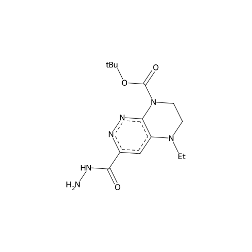 CCN1CCN(C(=O)OC(C)(C)C)c2nnc(C(=O)NN)cc21